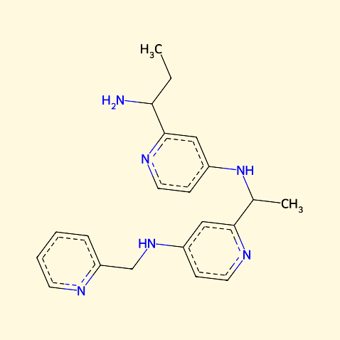 CCC(N)c1cc(NC(C)c2cc(NCc3ccccn3)ccn2)ccn1